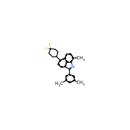 Cc1cc(C)cc(C2=Nc3c(C)ccc4c(C5CCC(F)(F)CC5)ccc2c34)c1